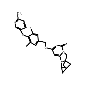 Cc1ncc(Oc2c(F)cc(COc3cc4n(c(=O)n3)CC35CC6(CC6N43)C5)cc2F)cn1